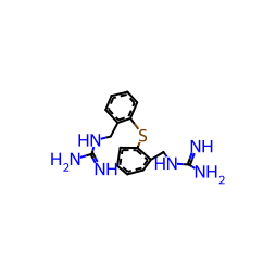 N=C(N)NCc1ccccc1Sc1ccccc1CNC(=N)N